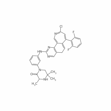 CC1NC(C)(C)CN(c2cccc(Nc3ncc4c(n3)C3=CN=C(Cl)C=C(c5c(F)cccc5F)C3=CC4)c2)C1=O